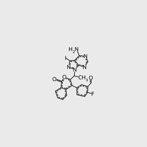 CC(c1oc(=O)c2ccccc2c1-c1ccc(F)c(C=O)c1)n1nc(I)c2c(N)ncnc21